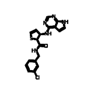 O=C(NCc1cccc(Cl)c1)C1SC=CC1Nc1ncnc2[nH]ccc12